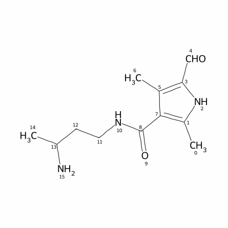 Cc1[nH]c(C=O)c(C)c1C(=O)NCCC(C)N